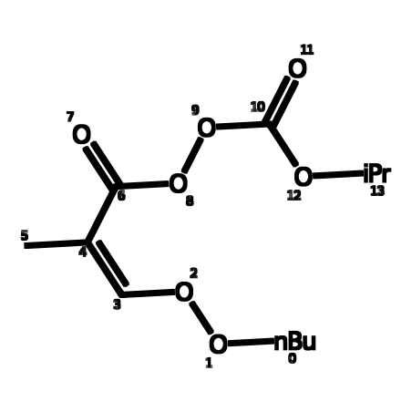 CCCCOOC=C(C)C(=O)OOC(=O)OC(C)C